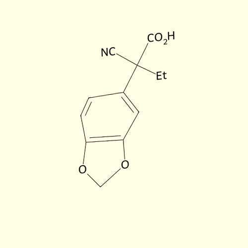 CCC(C#N)(C(=O)O)c1ccc2c(c1)OCO2